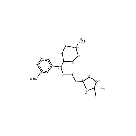 COc1cccc(N(CCCC2COC(C)(C)O2)C2CCN(C(=O)O)CC2)c1